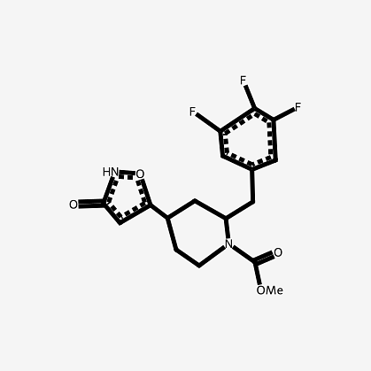 COC(=O)N1CCC(c2cc(=O)[nH]o2)CC1Cc1cc(F)c(F)c(F)c1